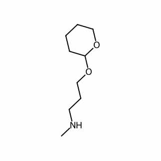 CNCCCOC1CCCCO1